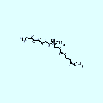 CCCCCCCCS(C)(Cl)CCCCCCC